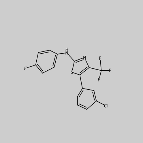 Fc1ccc(Nc2nc(C(F)(F)F)c(-c3cccc(Cl)c3)s2)cc1